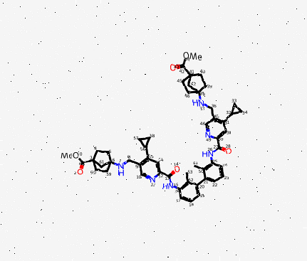 COC(=O)C12CCC(NCc3cnc(C(=O)Nc4cccc(-c5cccc(NC(=O)c6cc(C7CC7)c(CNC78CCC(C(=O)OC)(CC7)C8)cn6)c5C)c4C)cc3C3CC3)(CC1)C2